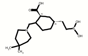 CC1(C)CCN(CC2CC[C@@H](CCB(O)O)C[C@@H]2C(=O)O)CC1